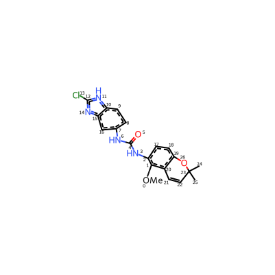 COc1c(NC(=O)Nc2ccc3[nH]c(Cl)nc3c2)ccc2c1C=CC(C)(C)O2